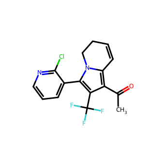 CC(=O)c1c(C(F)(F)F)c(-c2cccnc2Cl)n2c1C=CCC2